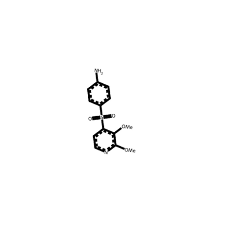 COc1nccc(S(=O)(=O)c2ccc(N)cc2)c1OC